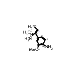 COc1cc(/C(=C/N)N(C)N)ccc1N